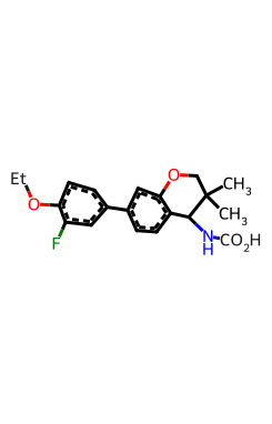 CCOc1ccc(-c2ccc3c(c2)OCC(C)(C)C3NC(=O)O)cc1F